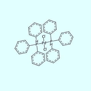 [Cl][Pd]([Cl])([PH](c1ccccc1)(c1ccccc1)c1ccccc1)[PH](c1ccccc1)(c1ccccc1)c1ccccc1